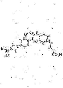 CCN(CC)C1CN(c2ccc3c(c2)OCc2cc4cc[n+](CCCC(=O)O)cc4nc2-3)C1